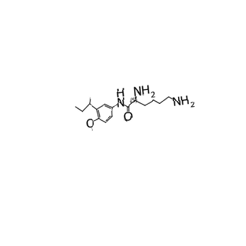 CCC(C)c1cc(NC(=O)[C@@H](N)CCCCN)ccc1OC